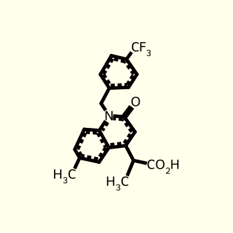 Cc1ccc2c(c1)c(C(C)C(=O)O)cc(=O)n2Cc1ccc(C(F)(F)F)cc1